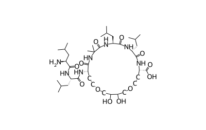 CC(C)C[C@H](NC(=O)[C@@H](N)CC(C)C)C(=O)N[C@H]1CCOCC(O)C(O)COCC[C@@H](C(=O)O)NC(=O)[C@@H](CC(C)C)NC(=O)[C@H](CC(C)C)NC(=O)C(C)(C)NC1=O